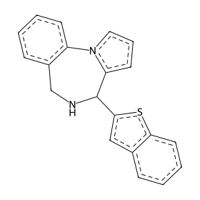 c1ccc2c(c1)CNC(c1cc3ccccc3s1)c1cccn1-2